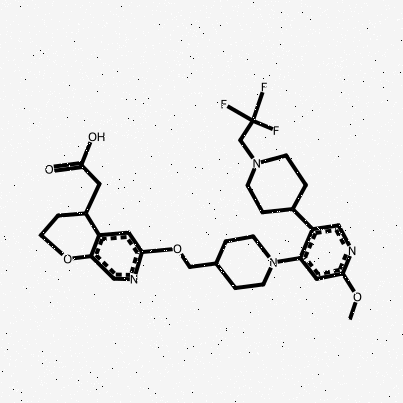 COc1cc(N2CCC(COc3cc4c(cn3)OCCC4CC(=O)O)CC2)c(C2CCN(CC(F)(F)F)CC2)cn1